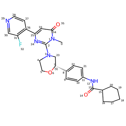 Cn1c(N2CCO[C@@H](c3ccc(NC(=O)C4CCCCC4)cc3)C2)nc(-c2ccncc2F)cc1=O